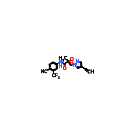 C#Cc1cnn(CC(C)(O)C(=O)Nc2ccc(C#N)c(C(F)(F)F)c2)c1